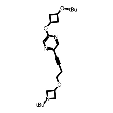 CC(C)(C)OC1CC(Oc2cnc(C#CCCOC3CN(C(C)(C)C)C3)cn2)C1